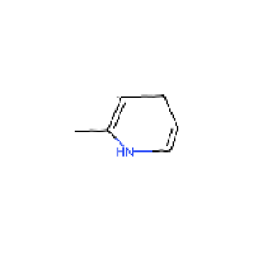 CC1=[C]CC=CN1